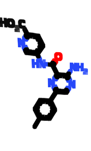 Cc1ccc(-c2cnc(N)c(C(=O)Nc3ccc(C(=O)O)nc3)n2)cc1